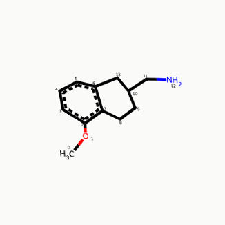 COc1cccc2c1CCC(CN)C2